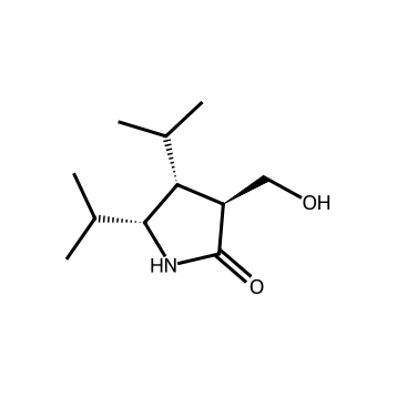 CC(C)[C@H]1[C@@H](C(C)C)NC(=O)[C@@H]1CO